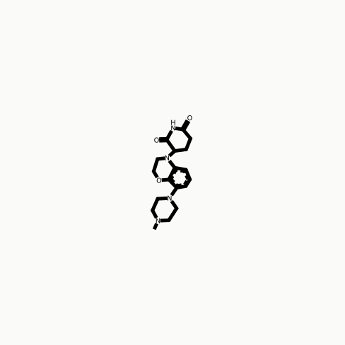 CN1CCN(c2cccc3c2OCCN3C2CCC(=O)NC2=O)CC1